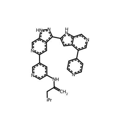 C=C(CC(C)C)Nc1cncc(-c2cc3c(-c4cc5c(-c6ccncc6)cncc5[nH]4)n[nH]c3cn2)c1